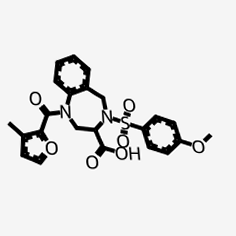 COc1ccc(S(=O)(=O)N2Cc3ccccc3N(C(=O)c3occc3C)CC2C(=O)O)cc1